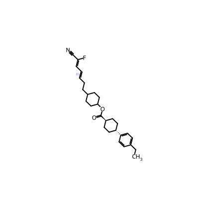 CCc1ccc([C@H]2CC[C@H](C(=O)OC3CCC(CC/C=C/C=C(F)C#N)CC3)CC2)cc1